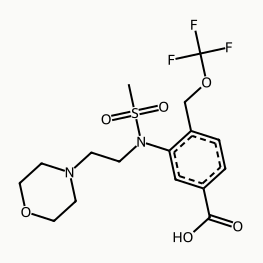 CS(=O)(=O)N(CCN1CCOCC1)c1cc(C(=O)O)ccc1COC(F)(F)F